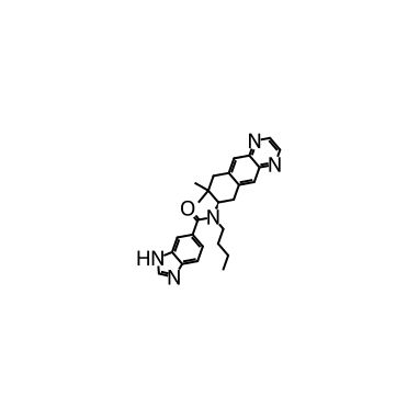 CCCCN(C(=O)c1ccc2nc[nH]c2c1)[C@@H]1Cc2cc3nccnc3cc2CC1(C)C